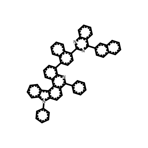 c1ccc(-c2nc3c(-c4ccc(-c5nc(-c6ccc7ccccc7c6)c6ccccc6n5)c5ccccc45)cccc3c3c2ccc2c3c3ccccc3n2-c2ccccc2)cc1